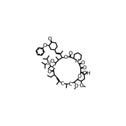 CCC1/C=C(\C)CC(C)CC(OC)C2OC(O)(C(=O)C(=O)N3CCCCC3C(=O)OC(C(C)=CC3CCC(=O)C(Oc4ccccc4)C3)C(C)C(O[Si](C(C)C)(C(C)C)C(C)C)CC1=O)C(C)CC2OC